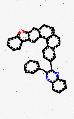 c1ccc(-c2nc3ccccc3nc2-c2ccc3c(ccc4ccc5cc6oc7ccccc7c6cc5c43)c2)cc1